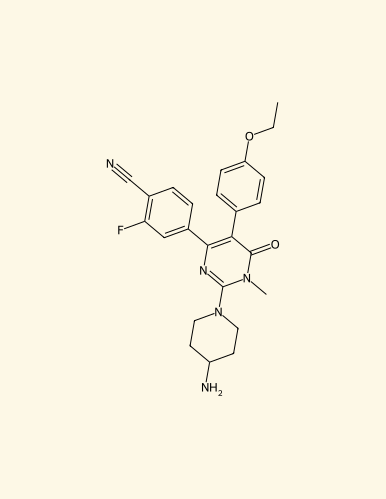 CCOc1ccc(-c2c(-c3ccc(C#N)c(F)c3)nc(N3CCC(N)CC3)n(C)c2=O)cc1